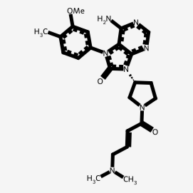 COc1cc(-n2c(=O)n([C@@H]3CCN(C(=O)/C=C/CN(C)C)C3)c3ncnc(N)c32)ccc1C